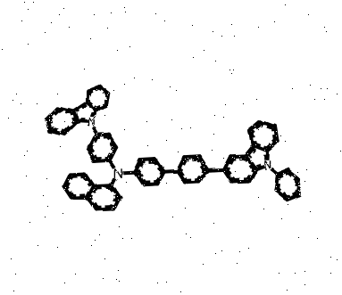 c1ccc(-n2c3ccccc3c3cc(-c4ccc(-c5ccc(N(c6ccc(-n7c8ccccc8c8ccccc87)cc6)c6cccc7ccccc67)cc5)cc4)ccc32)cc1